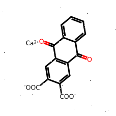 O=C([O-])c1cc2c(cc1C(=O)[O-])C(=O)c1ccccc1C2=O.[Ca+2]